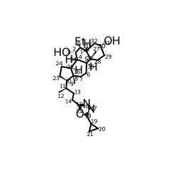 CC[C@H]1[C@@H](O)[C@@H]2[C@H](CC[C@]3(C)[C@@H]([C@H](C)CCc4nnc(C5CC5)o4)CC[C@@H]23)[C@@]2(C)CC[C@@H](O)C[C@@H]12